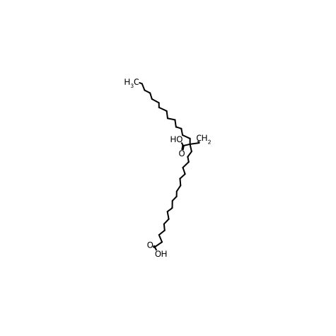 C=CC(CCCCCCCCCCCCCC)(CCCCCCCCCCCCCCCCCC(=O)O)C(=O)O